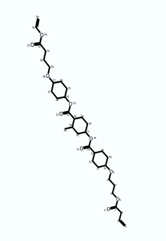 C=CCC(=O)OCCCOC1CCC(C(=O)OC2CCC(C(=O)OC3CCC(OCCCC(=O)OC=C)CC3)C(C)C2)CC1